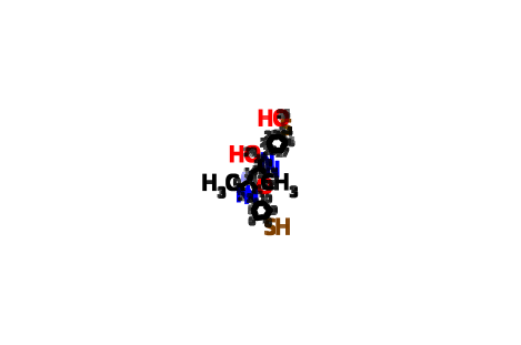 CC1=NN(c2ccc(S)cc2)C(=O)/C1=C\c1c(C)nn(-c2ccc(SO)cc2)c1O